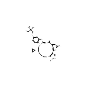 CCC1(CNc2ccc3c(c2)N/C2=N\C(=O)c4cc(C)nc(c4)-c4cnn(C)c4OCCC[C@@H](C4CC4)CN23)COC1